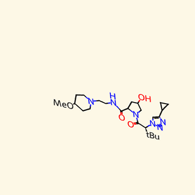 COC1CCN(CCNC(=O)C2CC(O)CN2C(=O)[C@@H](n2cc(C3CC3)nn2)C(C)(C)C)CC1